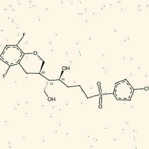 O=S(=O)(CCC[C@H](O)[C@H](CO)[C@@H]1COc2c(F)ccc(F)c2C1)c1ccc(Cl)cc1